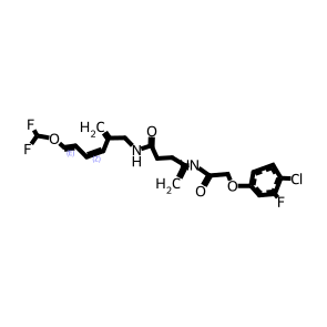 C=C(/C=C\C=C\OC(F)F)CNC(=O)CCC(=C)NC(=O)COc1ccc(Cl)c(F)c1